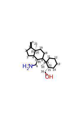 C=C1CCC2[C@H](CN)C([C@@]3(C)CCCC[C@@H]3CO)CC[C@]12C